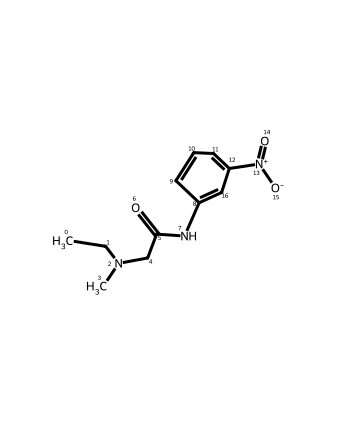 CCN(C)CC(=O)Nc1cccc([N+](=O)[O-])c1